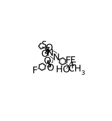 C[C@](O)(c1ccc(N2CCN(S(=O)(=O)c3cccs3)C[C@@H]2CS(=O)(=O)c2ccc(F)cc2)cc1)C(F)(F)F